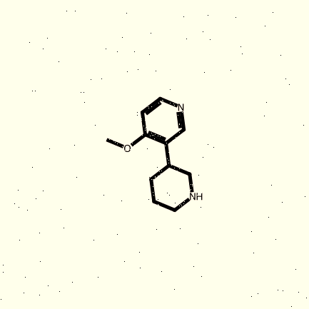 COc1ccncc1C1CCCNC1